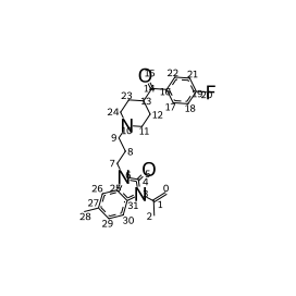 C=C(C)n1c(=O)n(CCCN2CCC(C(=O)c3ccc(F)cc3)CC2)c2cc(C)ccc21